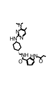 CCC(=O)Nc1cccc(C(=O)NC[C@H]2CC[C@@H](Nc3ncc(C)c(N(C)C)n3)CC2)c1